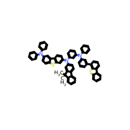 CC1(C)c2ccccc2-c2ccc(N(c3cccc(N(c4ccccc4)c4cccc(-c5cccc6c5sc5ccccc56)c4)c3)c3ccc4c(c3)sc3ccc(N(c5ccccc5)c5ccccc5)cc34)cc21